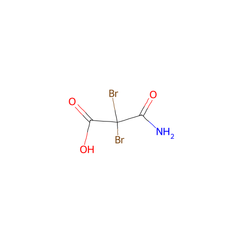 NC(=O)C(Br)(Br)C(=O)O